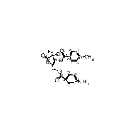 Cc1ccc(C(=O)OC[C@@H]2OC(=O)[C@@](F)(Cl)[C@@H]2OC(=O)c2ccc(C)cc2)cc1